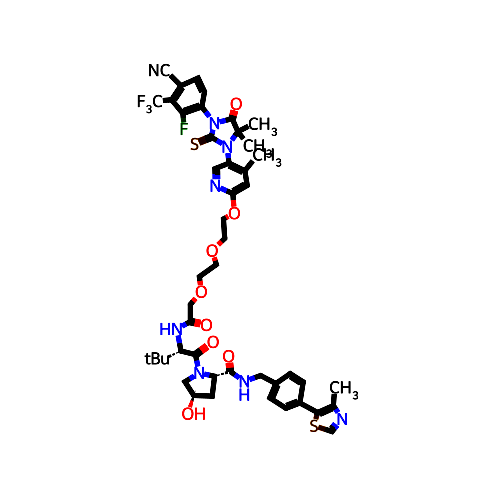 Cc1cc(OCCOCCOCC(=O)N[C@H](C(=O)N2C[C@H](O)C[C@H]2C(=O)NCc2ccc(-c3scnc3C)cc2)C(C)(C)C)ncc1N1C(=S)N(c2ccc(C#N)c(C(F)(F)F)c2F)C(=O)C1(C)C